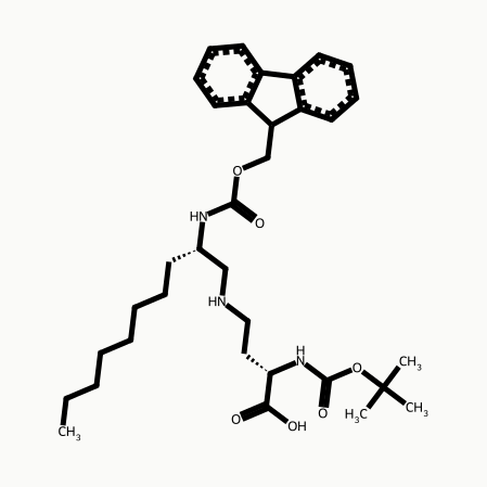 CCCCCCCC[C@@H](CNCC[C@H](NC(=O)OC(C)(C)C)C(=O)O)NC(=O)OCC1c2ccccc2-c2ccccc21